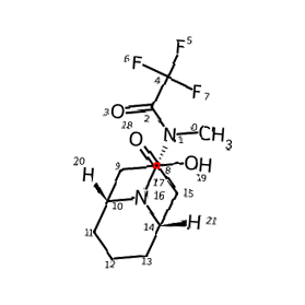 CN(C(=O)C(F)(F)F)[C@H]1C[C@H]2CCC[C@@H](C1)N2C(=O)O